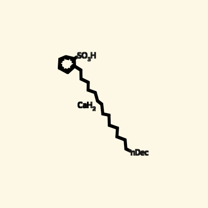 CCCCCCCCCCCCCCCCCCCCCCCCc1ccccc1S(=O)(=O)O.[CaH2]